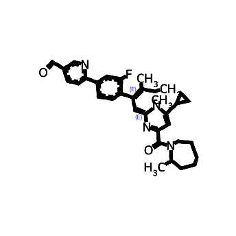 CC/C(C)=C(\C=C1\N=C(C(=O)N2CCCCCC2C)C=C(C2CC2)N1C)c1ccc(-c2ccc(C=O)cn2)cc1F